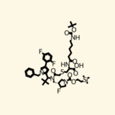 CC(C)(C)OC(=O)NCCCCCC(=O)NC(CSCC(=O)N(C[C@@H]1CN(C(=O)OCC[Si](C)(C)C)C[C@@H]1F)C(c1cc(-c2cc(F)ccc2F)cn1Cc1ccccc1)C(C)(C)C)C(=O)O